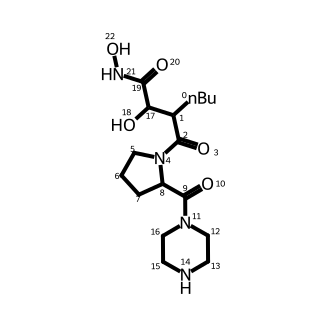 CCCCC(C(=O)N1CCCC1C(=O)N1CCNCC1)C(O)C(=O)NO